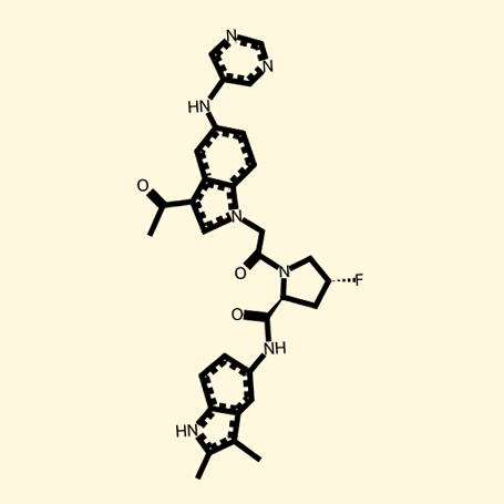 CC(=O)c1cn(CC(=O)N2C[C@H](F)C[C@H]2C(=O)Nc2ccc3[nH]c(C)c(C)c3c2)c2ccc(Nc3cncnc3)cc12